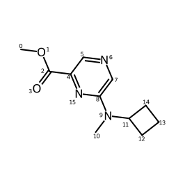 COC(=O)c1cncc(N(C)C2CCC2)n1